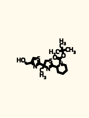 CC(C)(C)OC(=O)N1CCCCC1C1=NC(C)(c2nc(CO)cs2)CS1